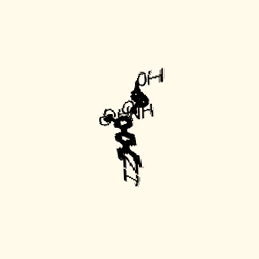 O=C(O)c1cc(NC(=O)C23C4C5C2C2C3C4C52CO)cc(-c2ccc(C3CCNCC3)cc2)c1